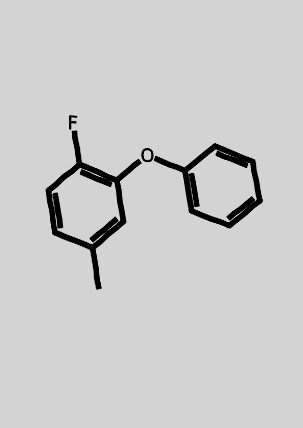 Cc1ccc(F)c(Oc2ccccc2)c1